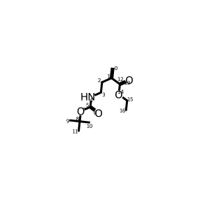 C=C(CCNC(=O)OC(C)(C)C)C(=O)OCC